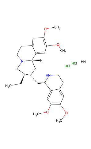 CC[C@H]1CN2CCc3cc(OC)c(OC)cc3[C@@H]2C[C@@H]1C[C@H]1NCCc2cc(OC)c(OC)cc21.Cl.Cl.[HH]